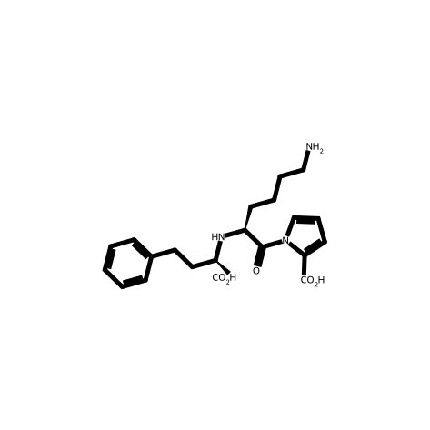 NCCCC[C@H](N[C@H](CCc1ccccc1)C(=O)O)C(=O)n1cccc1C(=O)O